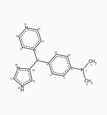 CN(C)c1ccc(C(c2ccncc2)c2c[nH]cn2)cc1